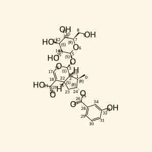 C[C@@H]1[C@H]2[C@H](O[C@@H]3O[C@H](CO)[C@@H](O)[C@H](O)[C@H]3O)OC=C(C(=O)O)[C@H]2C[C@H]1OC(=O)c1cccc(O)c1